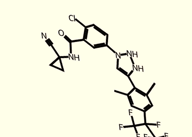 Cc1cc(C(F)(C(F)(F)F)C(F)(F)F)cc(C)c1C1=CN(c2ccc(Cl)c(C(=O)NC3(C#N)CC3)c2)NN1